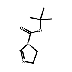 CC(C)(C)OC(=O)N1[C]=NCC1